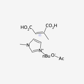 C/C(=C/C(=O)O)C(=O)O.CC(=O)[O-].CCCC[n+]1ccn(C)c1